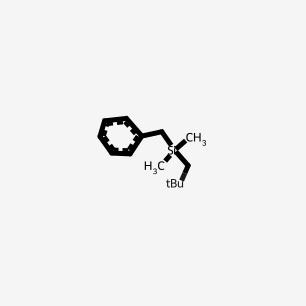 CC(C)(C)C[Si](C)(C)Cc1ccccc1